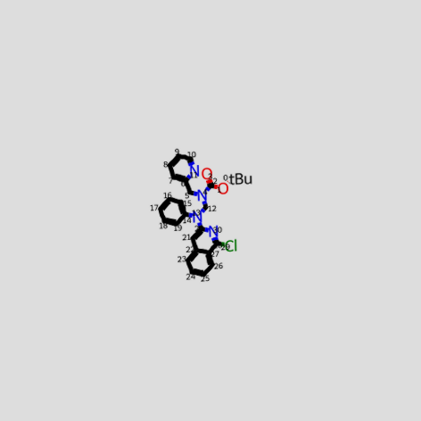 CC(C)(C)OC(=O)N(Cc1ccccn1)CN(c1ccccc1)c1cc2ccccc2c(Cl)n1